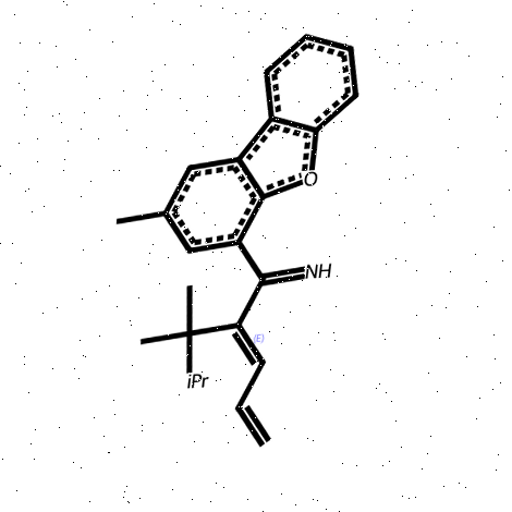 C=C/C=C(/C(=N)c1cc(C)cc2c1oc1ccccc12)C(C)(C)C(C)C